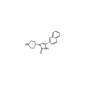 O=c1[nH]c(-c2ccc3ccccc3c2)cn1C1CCNCC1